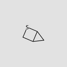 C1SC2CC12